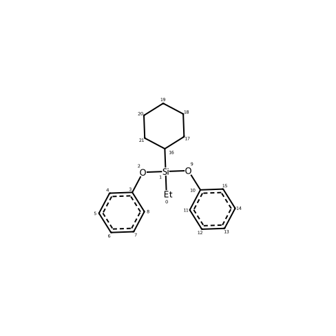 CC[Si](Oc1ccccc1)(Oc1ccccc1)C1CCCCC1